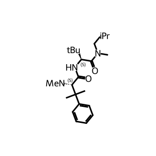 CN[C@H](C(=O)N[C@H](C(=O)N(C)CC(C)C)C(C)(C)C)C(C)(C)c1ccccc1